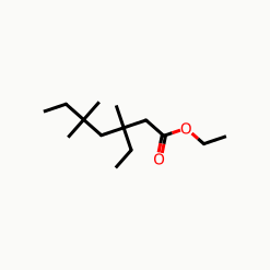 CCOC(=O)CC(C)(CC)CC(C)(C)CC